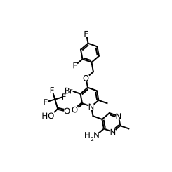 Cc1ncc(Cn2c(C)cc(OCc3ccc(F)cc3F)c(Br)c2=O)c(N)n1.O=C(O)C(F)(F)F